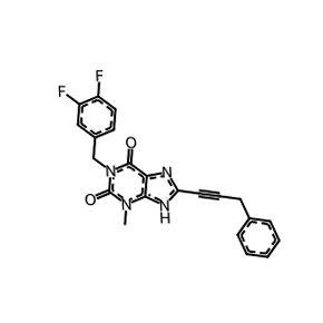 Cn1c(=O)n(Cc2ccc(F)c(F)c2)c(=O)c2nc(C#CCc3ccccc3)[nH]c21